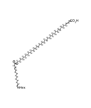 CCCCCCC=CCCCCCCCCCCCC(=O)OCCCCCCCCCCCCCCCCCCCCCCCCCCCCCCCCCCCCCCCC(=O)O